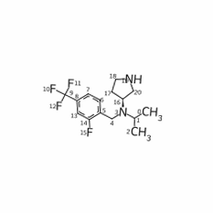 CC(C)N(Cc1ccc(C(F)(F)F)cc1F)[C@H]1CCNC1